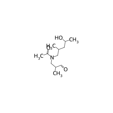 CC(=O)N(CC(C)C=O)CC(C)CC(C)O